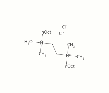 CCCCCCCC[N+](C)(C)CC[N+](C)(C)CCCCCCCC.[Cl-].[Cl-]